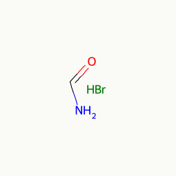 Br.NC=O